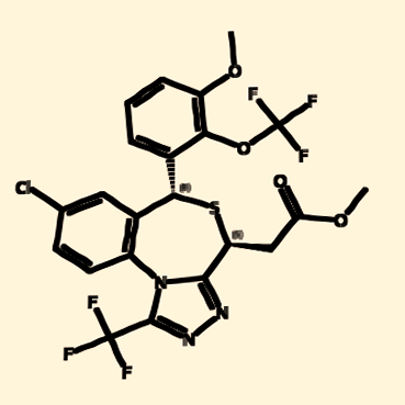 COC(=O)C[C@@H]1S[C@@H](c2cccc(OC)c2OC(F)(F)F)c2cc(Cl)ccc2-n2c1nnc2C(F)(F)F